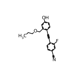 CCCOCc1cc(O)ccc1C#Cc1ccc(C#N)cc1F